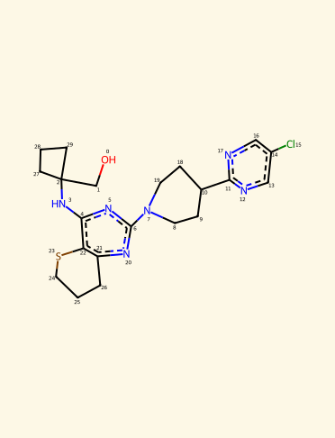 OCC1(Nc2nc(N3CCC(c4ncc(Cl)cn4)CC3)nc3c2SCCC3)CCC1